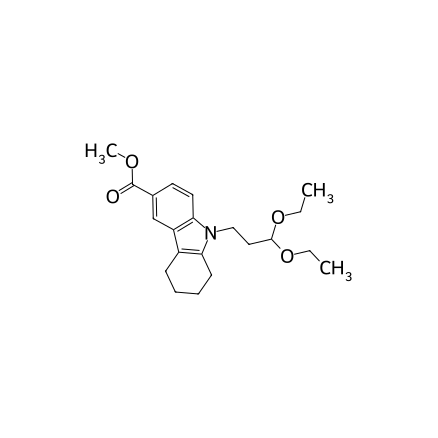 CCOC(CCn1c2c(c3cc(C(=O)OC)ccc31)CCCC2)OCC